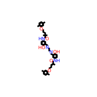 C/C(=C\CCOc1cc(C)ccc1C)C(=O)Nc1ccc(O)c(/C=N/CC/N=C/c2cc(NC(=O)C(C)(C)CCCOc3cc(C)ccc3C)ccc2O)c1